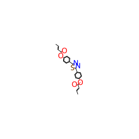 CC=CC(=O)Oc1ccc(-c2nnc(-c3ccc(OC(=O)C=CC)cc3)s2)cc1